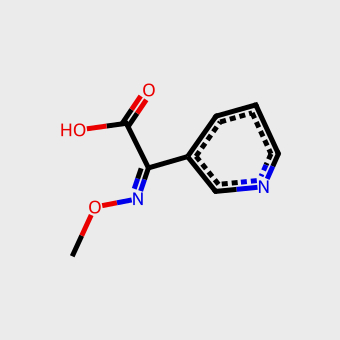 CON=C(C(=O)O)c1cccnc1